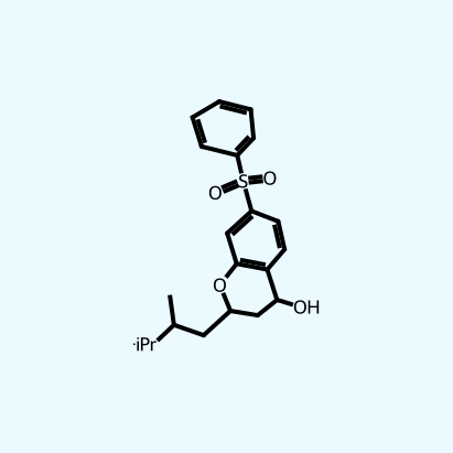 C[C](C)C(C)CC1CC(O)c2ccc(S(=O)(=O)c3ccccc3)cc2O1